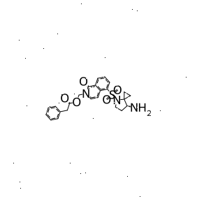 N[C@H]1CCN(S(=O)(=O)c2cccc3c(=O)n(COC(=O)Cc4ccccc4)ccc23)C12CC2